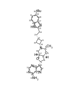 CC1O[C@H]2C[C@H](n3cnc4c(N)ncnc43)O[C@@H]2CN1[C@H]1C[C@@H](CCc2nc3cc(C(C)(C)C)ccc3[nH]2)C1